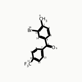 Cc1ccc(C(=O)c2ccc(C(F)(F)F)cc2)cc1Br